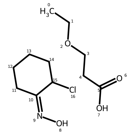 CCOCCC(=O)O.O/N=C1/CCCCC1Cl